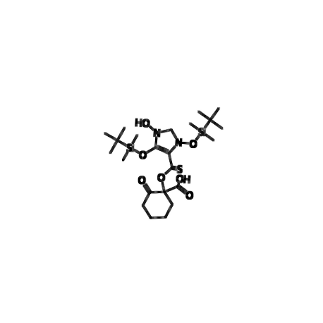 CC(C)(C)[Si](C)(C)OC1=C(C(=S)OC2(C(=O)O)CCCCC2=O)N(O[Si](C)(C)C(C)(C)C)CN1O